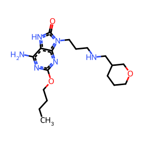 CCCCOc1nc(N)c2[nH]c(=O)n(CCCNCC3CCCOC3)c2n1